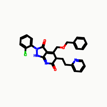 O=C1N=c2[nH]n(-c3ccccc3Cl)c(=O)c2=C(COCc2ccccc2)C1CCc1ccccn1